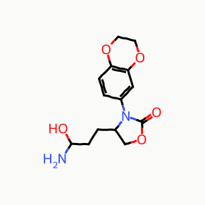 NC(O)CCC1COC(=O)N1c1ccc2c(c1)OCCO2